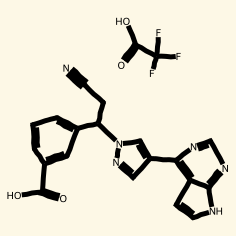 N#CCC(c1cccc(C(=O)O)c1)n1cc(-c2ncnc3[nH]ccc23)cn1.O=C(O)C(F)(F)F